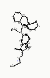 C=c1/c(=C\C=C\C(C)(C)C)[nH]c2ccc(C(C3=c4ccccc4=CC4C=CC=CC34)C(C)(C)C)cc12